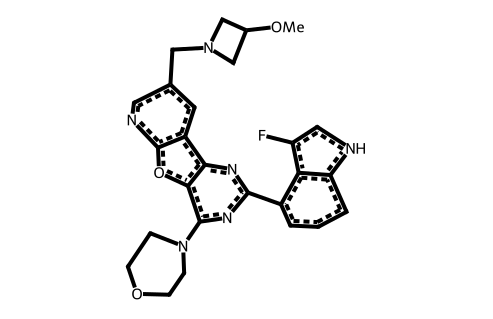 COC1CN(Cc2cnc3oc4c(N5CCOCC5)nc(-c5cccc6[nH]cc(F)c56)nc4c3c2)C1